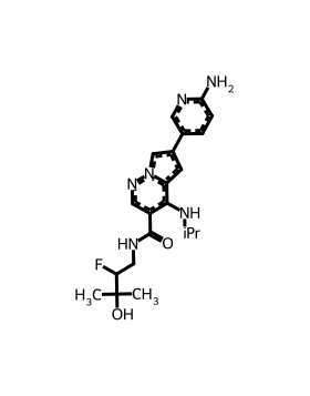 CC(C)Nc1c(C(=O)NCC(F)C(C)(C)O)cnn2cc(-c3ccc(N)nc3)cc12